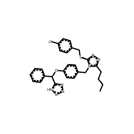 CCCCc1nnc(SCc2ccc(Cl)cc2)n1Cc1ccc(OC(c2ccccc2)c2nnn[nH]2)cc1